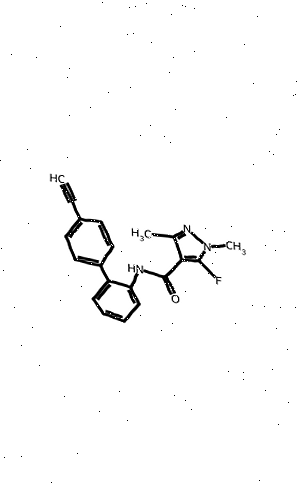 C#Cc1ccc(-c2ccccc2NC(=O)c2c(C)nn(C)c2F)cc1